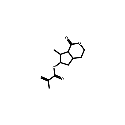 C=C(C)C(=O)OC1CC2CCOC(=O)C2C1C